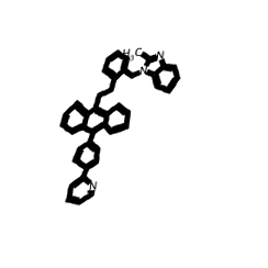 Cc1nc2ccccc2n1Cc1ccccc1CCc1c2ccccc2c(-c2ccc(-c3ccccn3)cc2)c2ccccc12